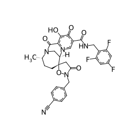 C[C@H]1CC[C@]2(CC(=O)N(Cc3ccc(C#N)cc3)O2)[C@H]2CN1C(=O)c1c(O)c(=O)c(C(=O)NCc3c(F)cc(F)cc3F)cn12